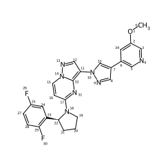 COc1cncc(-c2cnn(-c3cnn4ccc(N5CCC[C@H]5c5cc(F)ccc5F)nc34)c2)c1